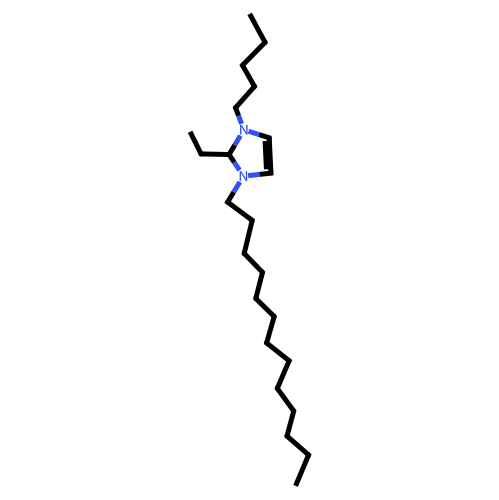 CCCCCCCCCCCCCN1C=CN(CCCCC)C1CC